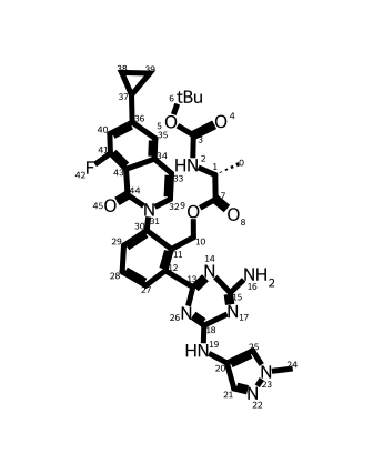 C[C@@H](NC(=O)OC(C)(C)C)C(=O)OCc1c(-c2nc(N)nc(Nc3cnn(C)c3)n2)cccc1-n1ccc2cc(C3CC3)cc(F)c2c1=O